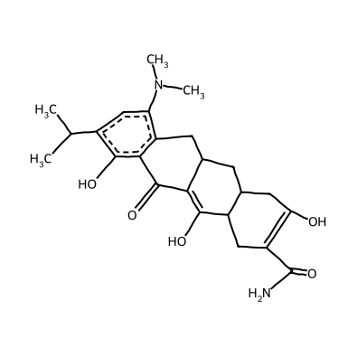 CC(C)c1cc(N(C)C)c2c(c1O)C(=O)C1=C(O)C3CC(C(N)=O)=C(O)CC3CC1C2